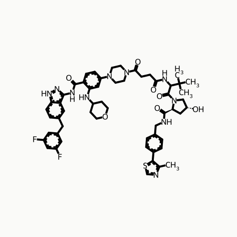 Cc1ncsc1-c1ccc(CNC(=O)[C@@H]2C[C@@H](O)CN2C(=O)C(NC(=O)CCC(=O)N2CCN(c3ccc(C(=O)Nc4n[nH]c5ccc(Cc6cc(F)cc(F)c6)cc45)c(NC4CCOCC4)c3)CC2)C(C)(C)C)cc1